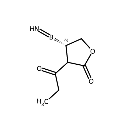 CCC(=O)C1C(=O)OC[C@H]1B=N